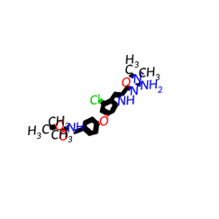 CCN(C)C(N)=NC(=O)c1cc2c(Cl)cc(Oc3ccc(CNC(=O)OC(C)(C)C)cc3)cc2[nH]1